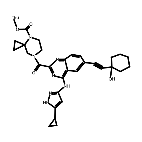 CC(C)(C)OC(=O)N1CCN(C(=O)c2nc(Nc3cc(C4CC4)[nH]n3)c3cc(C#CC4(O)CCCCC4)ccc3n2)CC12CC2